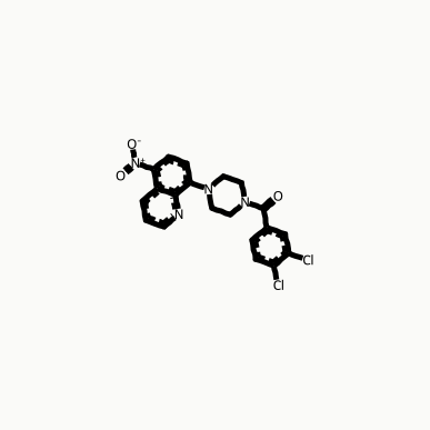 O=C(c1ccc(Cl)c(Cl)c1)N1CCN(c2ccc([N+](=O)[O-])c3cccnc23)CC1